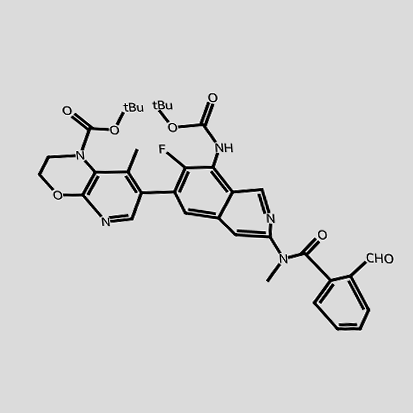 Cc1c(-c2cc3cc(N(C)C(=O)c4ccccc4C=O)ncc3c(NC(=O)OC(C)(C)C)c2F)cnc2c1N(C(=O)OC(C)(C)C)CCO2